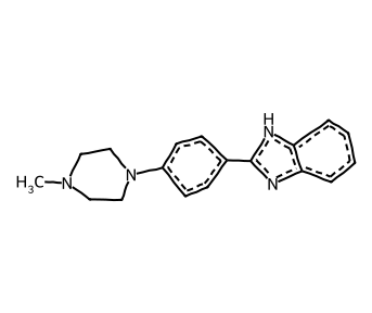 CN1CCN(c2ccc(-c3nc4ccccc4[nH]3)cc2)CC1